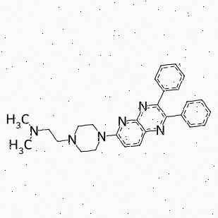 CN(C)CCN1CCN(c2ccc3nc(-c4ccccc4)c(-c4cc[c]cc4)nc3n2)CC1